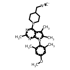 [C-]#[N+]CC1CCN(c2nc(C)nc3c2c(C)c(C)n3-c2c(C)cc(OC)cc2C)CC1